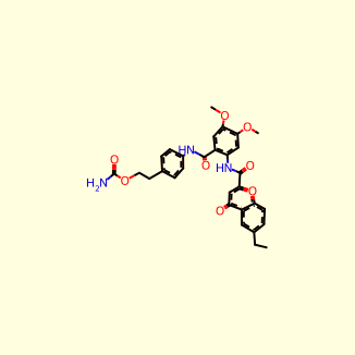 CCc1ccc2oc(C(=O)Nc3cc(OC)c(OC)cc3C(=O)Nc3ccc(CCOC(N)=O)cc3)cc(=O)c2c1